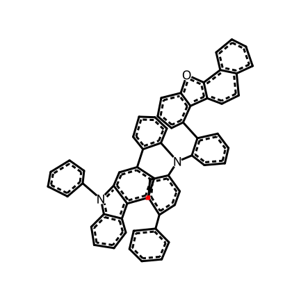 c1ccc(-c2ccc(N(c3ccccc3-c3ccc4c5ccccc5n(-c5ccccc5)c4c3)c3ccccc3-c3cccc4oc5c6ccccc6ccc5c34)cc2)cc1